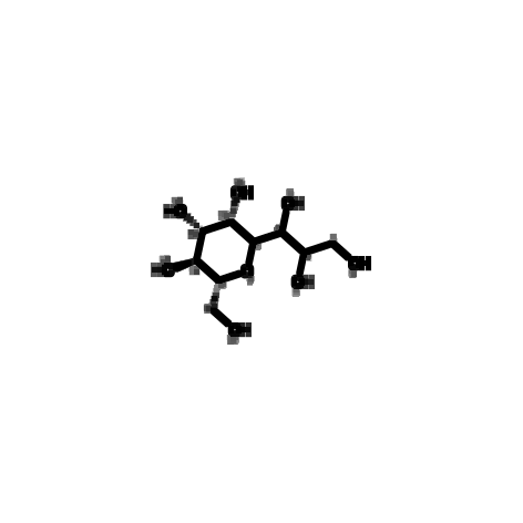 OCC(O)C(O)C1O[C@H](CO)[C@@H](O)[C@H](O)[C@@H]1O